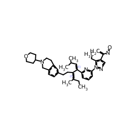 C=C(N=O)c1cnn(-c2cccc(C(=C/C(C)C)/C(CCc3ccc4c(c3)CCN(C3CCOCC3)C4)=C(/C)CC)n2)c1CC